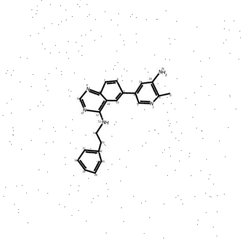 Cc1ncc(-c2ccc3ncnc(NCCc4ccccc4)c3c2)cc1N